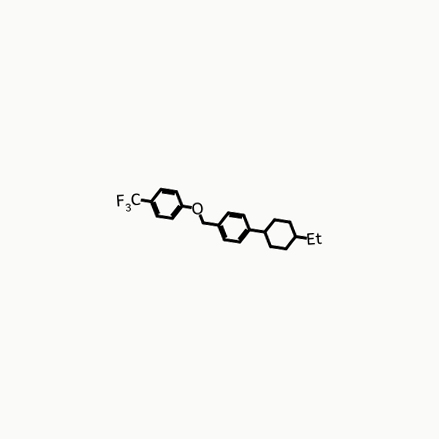 CCC1CCC(c2ccc(COc3ccc(C(F)(F)F)cc3)cc2)CC1